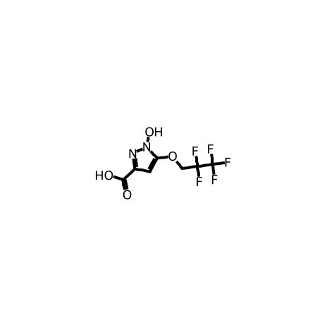 O=C(O)c1cc(OCC(F)(F)C(F)(F)F)n(O)n1